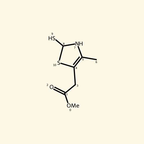 COC(=O)CC1=C(C)NC(S)S1